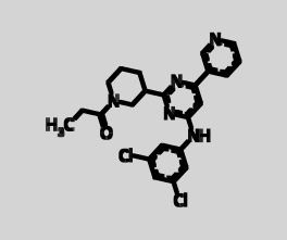 CCC(=O)N1CCCC(c2nc(Nc3cc(Cl)cc(Cl)c3)cc(-c3cccnc3)n2)C1